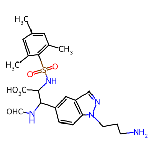 Cc1cc(C)c(S(=O)(=O)NC(C(=O)O)C(NC=O)c2ccc3c(cnn3CCCN)c2)c(C)c1